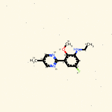 CCNc1cc(F)cc(-c2ncc(C)cn2)c1OC